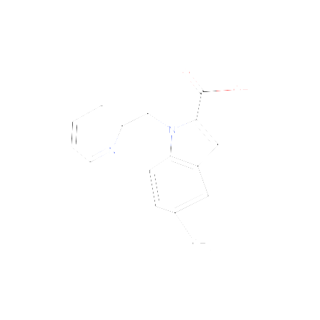 Cc1ccc2c(c1)cc(C(=O)O)n2Cc1ccccn1